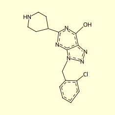 Oc1nc(C2CCNCC2)nc2c1nnn2Cc1ccccc1Cl